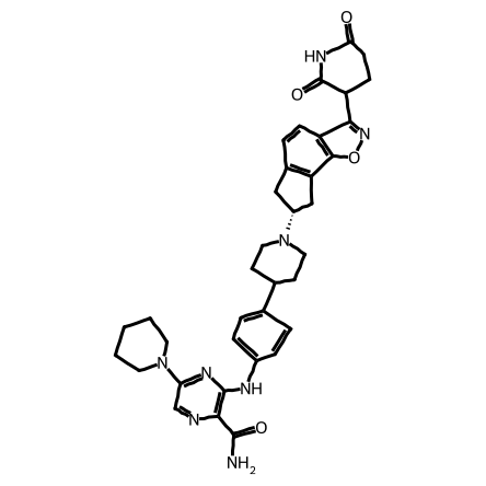 NC(=O)c1ncc(N2CCCCC2)nc1Nc1ccc(C2CCN([C@@H]3Cc4ccc5c(C6CCC(=O)NC6=O)noc5c4C3)CC2)cc1